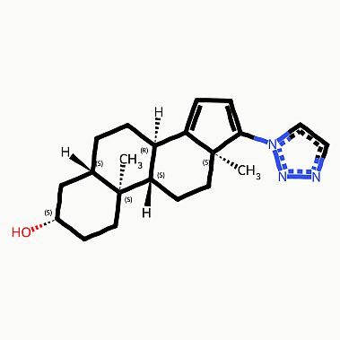 C[C@]12CC[C@H]3[C@@H](CC[C@H]4C[C@@H](O)CC[C@@]43C)C1=CC=C2n1ccnn1